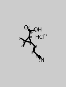 CC1(C)C(C=CC#N)C1C(=O)O.Cl